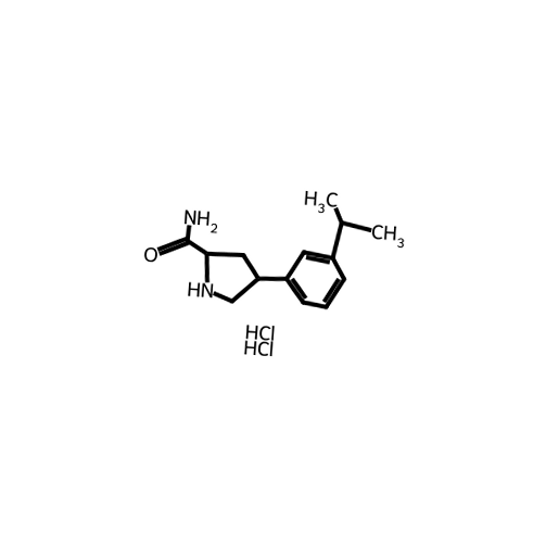 CC(C)c1cccc(C2CNC(C(N)=O)C2)c1.Cl.Cl